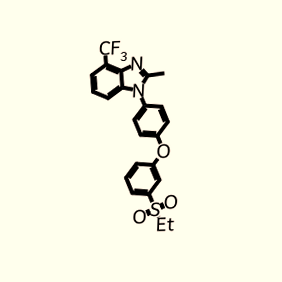 CCS(=O)(=O)c1cccc(Oc2ccc(-n3c(C)nc4c(C(F)(F)F)cccc43)cc2)c1